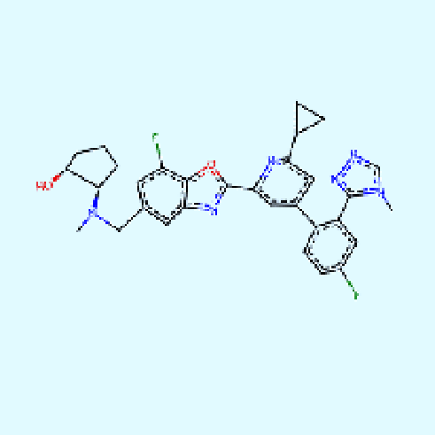 CN(Cc1cc(F)c2oc(-c3cc(-c4ccc(F)cc4-c4nncn4C)cc(C4CC4)n3)nc2c1)[C@@H]1CCC[C@@H]1O